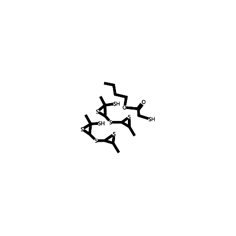 CC1SC1SC1SC1(C)S.CC1SC1SC1SC1(C)S.CCCCOC(=O)CS